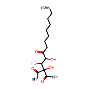 CCCCCCCCCCCCCCCCCC(=O)C(O)C(O)C(O)(C(=O)CCC)C(=O)CCC